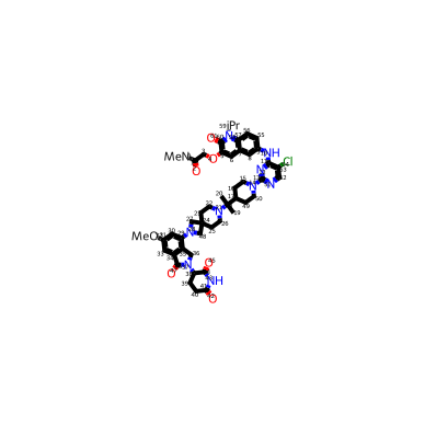 CNC(=O)COc1cc2cc(Nc3nc(N4CCC(C(C)(C)N5CCC6(CC5)CN(c5cc(OC)cc7c5CN(C5CCC(=O)NC5=O)C7=O)C6)CC4)ncc3Cl)ccc2n(C(C)C)c1=O